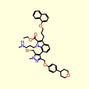 CCOC(=O)c1c(CCCOc2cccc3ccccc23)c2cccc(-c3c(COc4ccc(C5CCOCC5)cc4)nn(C)c3CBr)c2n1CCCNC